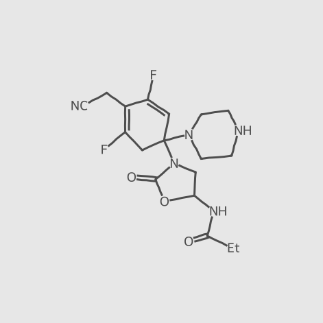 CCC(=O)NC1CN(C2(N3CCNCC3)C=C(F)C(CC#N)=C(F)C2)C(=O)O1